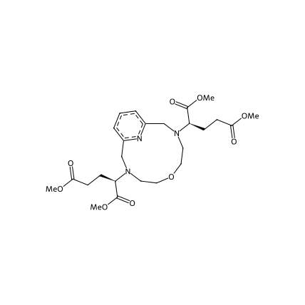 COC(=O)CC[C@H](C(=O)OC)N1CCOCCN([C@H](CCC(=O)OC)C(=O)OC)Cc2cccc(n2)C1